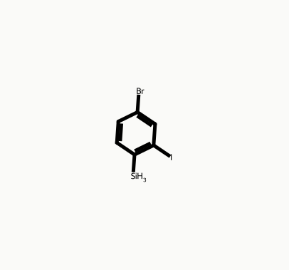 [SiH3]c1ccc(Br)cc1I